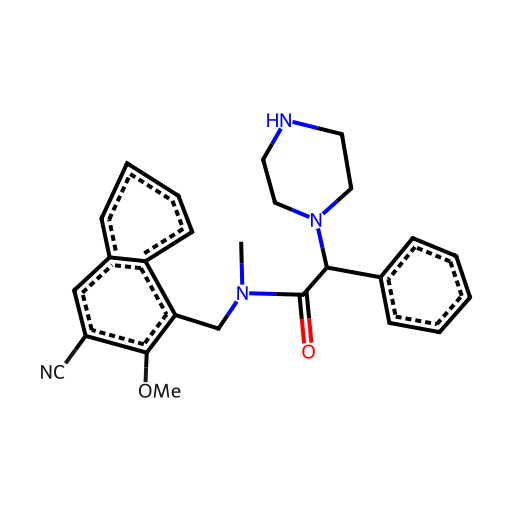 COc1c(C#N)cc2ccccc2c1CN(C)C(=O)C(c1ccccc1)N1CCNCC1